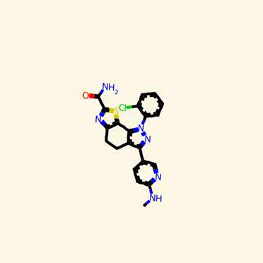 CNc1ccc(-c2nn(-c3ccccc3Cl)c3c2CCc2nc(C(N)=O)sc2-3)cn1